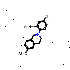 COc1ccc2c(c1)CCN(c1ccc(C)cc1NC(C)=O)C2